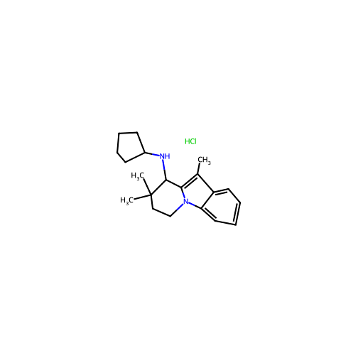 Cc1c2n(c3ccccc13)CCC(C)(C)C2NC1CCCC1.Cl